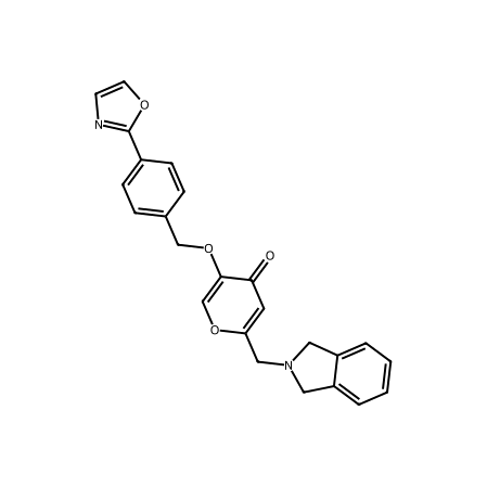 O=c1cc(CN2Cc3ccccc3C2)occ1OCc1ccc(-c2ncco2)cc1